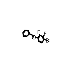 [B]c1ccc(OCc2ccccc2)c(F)c1F